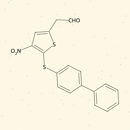 O=CCc1cc([N+](=O)[O-])c(Sc2ccc(-c3ccccc3)cc2)s1